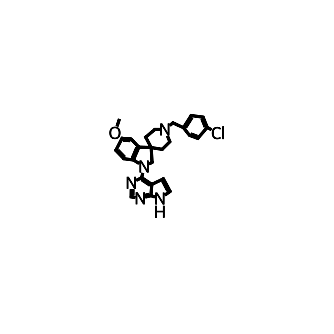 COc1ccc2c(c1)C1(CCN(Cc3ccc(Cl)cc3)CC1)CN2c1ncnc2[nH]ccc12